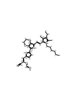 CCCCCCn1c(C)c(CC)c(C)c1/C=C/c1sc(-c2ccc(/C=C(/C#N)OC=O)s2)c2c1OCCO2